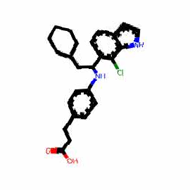 O=C(O)CCc1ccc(NC(CC2CCCCC2)c2ccc3cc[nH]c3c2Cl)cc1